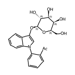 CC(=O)c1ccccc1-n1cc(O[C@@H]2O[C@H](CO)[C@H](O)[C@H](O)[C@H]2O)c2ccccc21